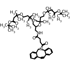 CCC(C)(CCOC(C)(C)CC(=O)OC(C)(C)C)OC(CNC(=O)CCC(=O)N1Cc2ccccc2C#Cc2ccccc21)COC(C)(C)CCOC(C)(C)CC(=O)OC(C)(C)C